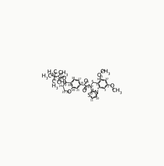 COc1ccc(CN(c2nccs2)S(=O)(=O)c2ccc3c(c2)OCC[C@H]3O[Si](C)(C)C(C)(C)C)c(OC)c1